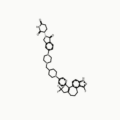 O=C1CC[C@H](N2Cc3cc(N4CCN(CC5CCN(c6ccc(C7=C(CC(F)(F)F)CCCc8c7ccc7[nH]nc(F)c87)nc6)CC5)CC4)ccc3C2=O)C(=O)N1